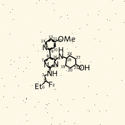 CCC(F)CNc1ncc(-c2cc(OC)ccn2)c(NC2CCC(O)CC2)n1